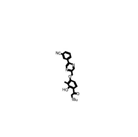 Cc1c(OCc2cnc(-c3cccc(C#N)c3)cn2)ccc(C(=O)CC(C)(C)C)c1O